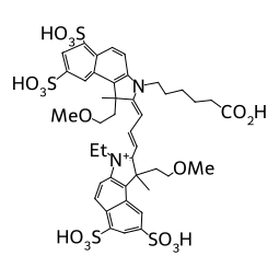 CC[N+]1=C(/C=C/C=C2/N(CCCCCC(=O)O)c3ccc4c(S(=O)(=O)O)cc(S(=O)(=O)O)cc4c3C2(C)CCOC)C(C)(CCOC)c2c1ccc1c(S(=O)(=O)O)cc(S(=O)(=O)O)cc21